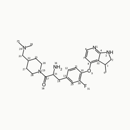 CC1CNc2nccc(Oc3ccc(CC(N)C(=O)N4CCC(CN(C)C)CC4)cc3F)c21